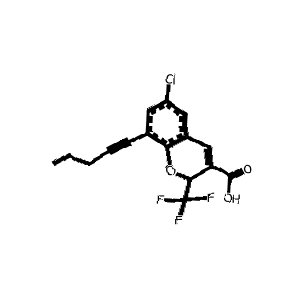 CCCC#Cc1cc(Cl)cc2c1OC(C(F)(F)F)C(C(=O)O)=C2